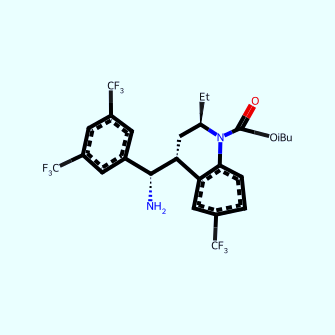 CC[C@@H]1C[C@@H]([C@H](N)c2cc(C(F)(F)F)cc(C(F)(F)F)c2)c2cc(C(F)(F)F)ccc2N1C(=O)OCC(C)C